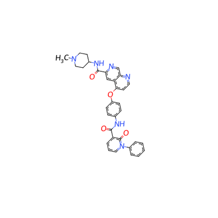 CN1CCC(NC(=O)c2cc3c(Oc4ccc(NC(=O)c5cccn(-c6ccccc6)c5=O)cc4)ccnc3cn2)CC1